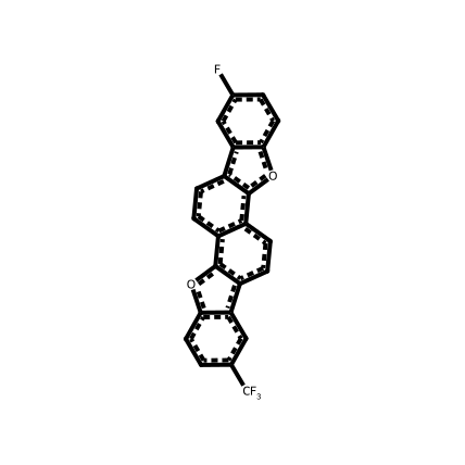 Fc1ccc2oc3c(ccc4c3ccc3c5cc(C(F)(F)F)ccc5oc34)c2c1